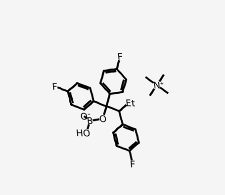 CCC(c1ccc(F)cc1)C(OB([O-])O)(c1ccc(F)cc1)c1ccc(F)cc1.C[N+](C)(C)C